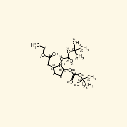 CCOC(=O)C[C@@H]1CC[C@H](OC(=O)OC(C)(C)C)N1OC(=O)OC(C)(C)C